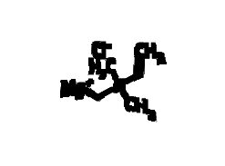 C=C[Si](C)(C)[CH2][Mg+].[Cl-]